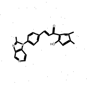 Cc1cc(O)c(C(=O)C=Cc2ccc(-n3c(C)nc4cnccc43)cc2)cc1C